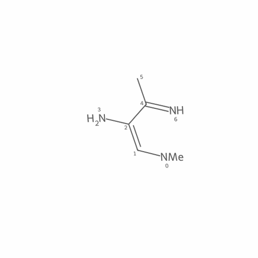 CN/C=C(/N)C(C)=N